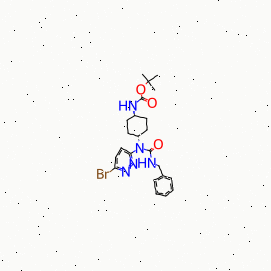 CC(C)(C)OC(=O)N[C@H]1CC[C@H](N(C(=O)NCc2ccccc2)c2ccc(Br)nn2)CC1